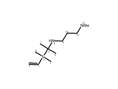 C=C[Si](C)(C)C(C)(C)NCCCNC